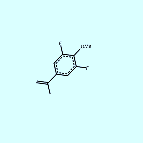 C=C(C)c1cc(F)c(OC)c(F)c1